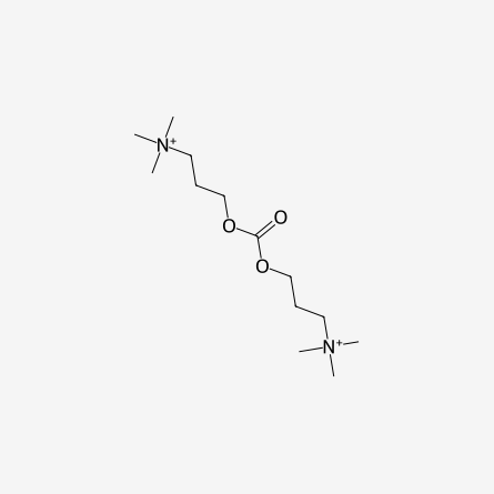 C[N+](C)(C)CCCOC(=O)OCCC[N+](C)(C)C